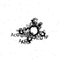 C/N=C1\C[C@@H](C)O[C@@H](O[C@@H]2[C@@H](C)[C@H](O[C@H]3C[C@@](C)(OC(C)=O)[C@@H](OC(C)=O)[C@H](C)O3)[C@@H](C)C(=O)C[C@H]([C@@H](C)CO[C@@H]3O[C@H](C)[C@@H](OC(C)=O)[C@@H](OC)[C@H]3OC)[C@H](C)[C@@H](OC(=O)CC(C)C)[C@@H](C)[C@@]3(Cl)OC(=O)O[C@@]3(C)C[C@@H]2C)[C@@H]1OC(C)=O